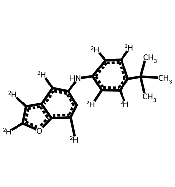 [2H]c1oc2c([2H])cc(Nc3c([2H])c([2H])c(C(C)(C)C)c([2H])c3[2H])c([2H])c2c1[2H]